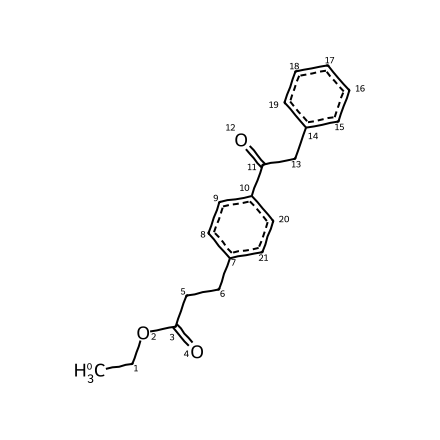 CCOC(=O)CCc1ccc(C(=O)Cc2ccccc2)cc1